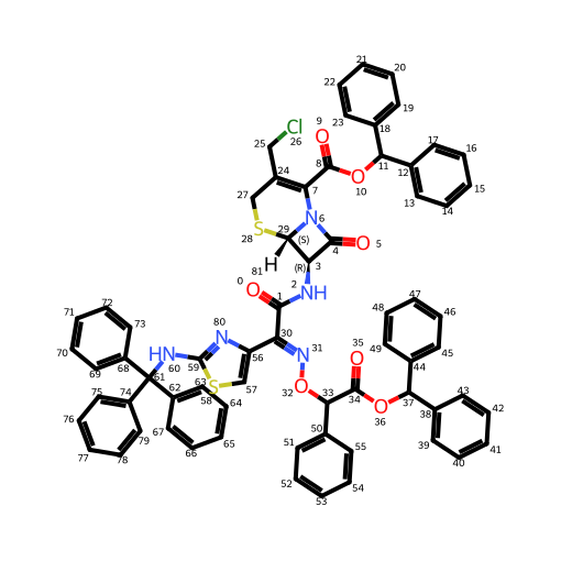 O=C(N[C@@H]1C(=O)N2C(C(=O)OC(c3ccccc3)c3ccccc3)=C(CCl)CS[C@@H]12)C(=NOC(C(=O)OC(c1ccccc1)c1ccccc1)c1ccccc1)c1csc(NC(c2ccccc2)(c2ccccc2)c2ccccc2)n1